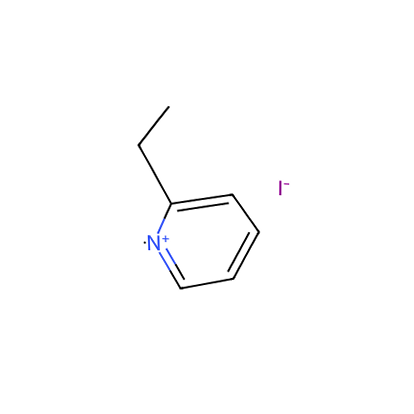 CCC1=CC=CC=[N+]1.[I-]